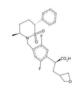 C[C@H]1CC[C@H](c2ccccc2)S(=O)(=O)N1Cc1cc(F)c([C@H](CC2COC2)C(=O)O)cc1F